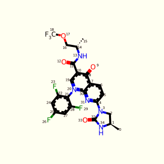 C[C@@H]1CN(c2ccc3c(=O)c(C(=O)N[C@@H](C)COC(F)(F)F)cn(-c4c(F)cc(F)cc4F)c3n2)C(=O)N1